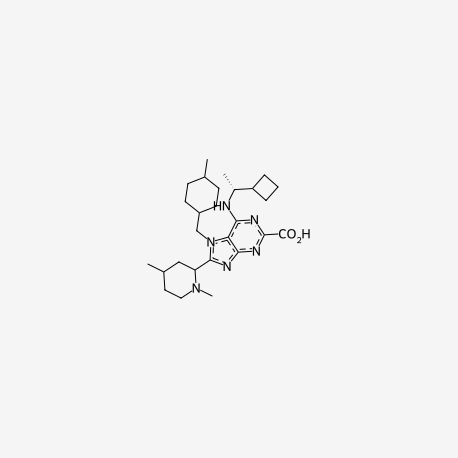 CC1CCC(Cn2c(C3CC(C)CCN3C)nc3nc(C(=O)O)nc(N[C@H](C)C4CCC4)c32)CC1